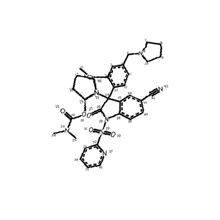 COc1cc(CN2CCCC2)ccc1C1(N2CCC[C@@H]2OC(=O)N(C)C)C(=O)N(S(=O)(=O)c2ccccn2)c2ccc(C#N)cc21